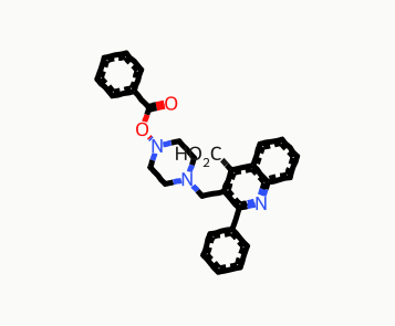 O=C(ON1CCN(Cc2c(-c3ccccc3)nc3ccccc3c2C(=O)O)CC1)c1ccccc1